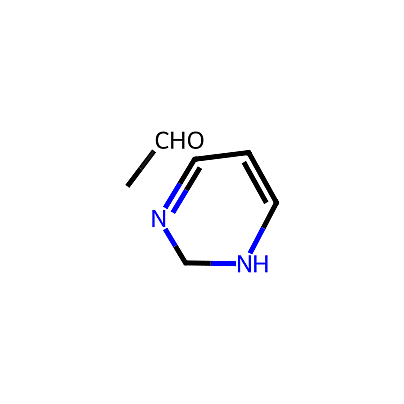 C1=CNCN=C1.CC=O